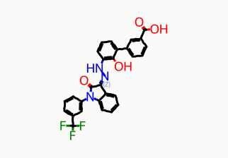 O=C(O)c1cccc(-c2cccc(N/N=C3\C(=O)N(c4cccc(C(F)(F)F)c4)c4ccccc43)c2O)c1